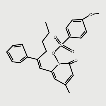 CCCCC(=Cc1cc(C)cc(=O)n1OS(=O)(=O)c1ccc(OC)cc1)c1ccccc1